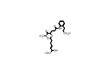 CCCCCCCCC(O)/C=C/CCCOC(CCC(=O)Nc1ccccc1CCC(=O)O)C(=O)N(C)C